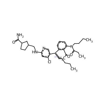 CCCC/C=C(/c1cnc(NCC2CCC(C(N)=O)C2)cc1Cl)c1cccc(N(CCCC)C(=O)CC)c1C(C)=O